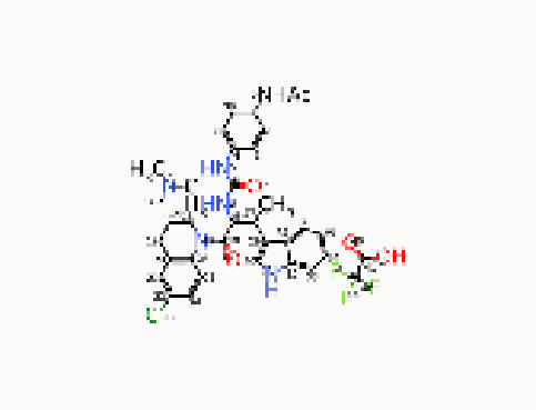 CC(=O)Nc1ccc(NC(=O)NC(C(=O)N2C[C@@H](CN(C)C)Cc3cc(Cl)ccc32)C(C)c2c[nH]c3ccccc23)cc1.O=C(O)C(F)(F)F